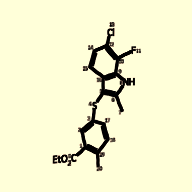 CCOC(=O)c1cc(Sc2c(C)[nH]c3c(F)c(Cl)ccc23)ccc1C